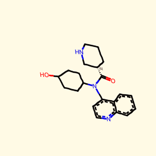 O=C([C@H]1CCCNC1)N(c1ccnc2ccccc12)C1CCC(O)CC1